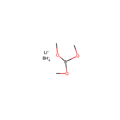 COB(OC)OC.[BH4-].[Li+]